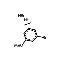 Br.CC.COc1cccc(Br)c1.N